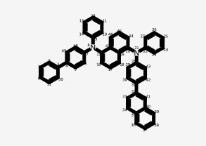 c1ccc(-c2ccc(N(c3ccccc3)c3cccc4c(N(c5ccccc5)c5ccc(-c6ccc7ccccc7c6)cc5)cccc34)cc2)cc1